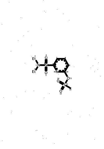 CCN(CC)S(=O)(=O)c1cccc(OS(C)(=O)=O)n1